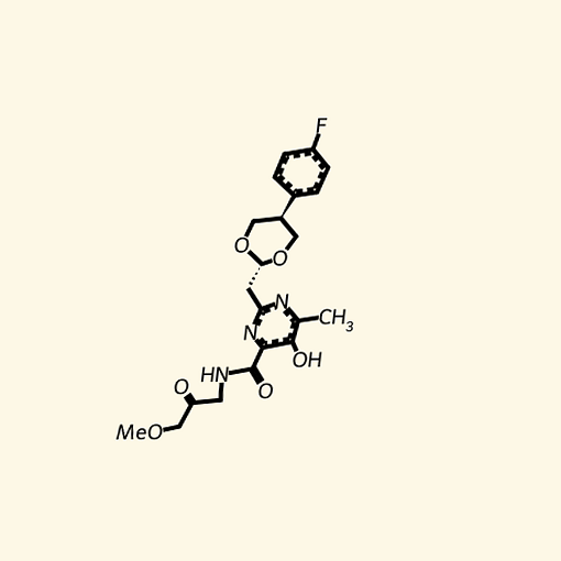 COCC(=O)CNC(=O)c1nc(C[C@H]2OC[C@H](c3ccc(F)cc3)CO2)nc(C)c1O